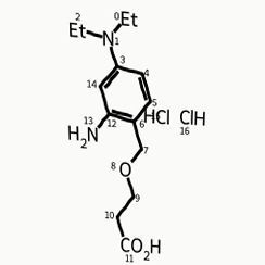 CCN(CC)c1ccc(COCCC(=O)O)c(N)c1.Cl.Cl